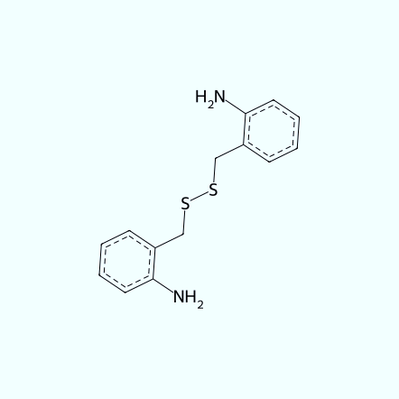 Nc1ccccc1CSSCc1ccccc1N